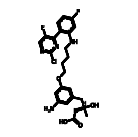 C[SH](O)(Cc1cc(N)cc(OCCCCNc2cc(F)ccc2-c2nc(Cl)ncc2F)c1)=NC(=O)O